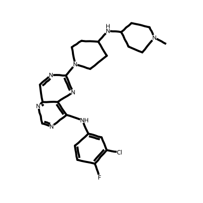 CN1CCC(NC2CCN(c3ncc4ncnc(Nc5ccc(F)c(Cl)c5)c4n3)CC2)CC1